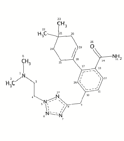 CN(C)CCn1nnc(Cc2ccc(C(N)=O)c(C3=CCC(C)(C)CC3)c2)n1